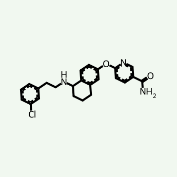 NC(=O)c1ccc(Oc2ccc3c(c2)CCCC3NCCc2cccc(Cl)c2)nc1